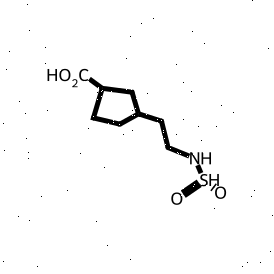 O=C(O)C1CCC(CCN[SH](=O)=O)C1